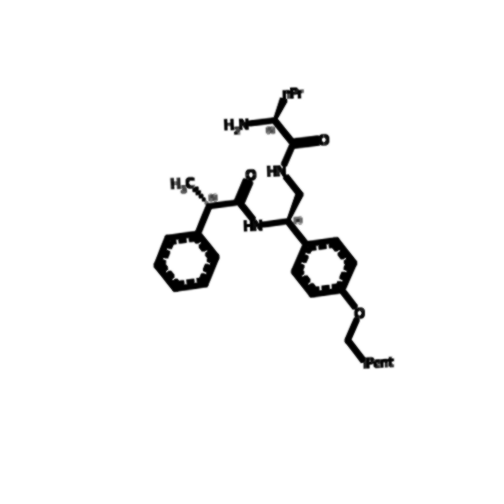 CCCC(C)COc1ccc([C@H](CNC(=O)[C@@H](N)CCC)NC(=O)[C@@H](C)c2ccccc2)cc1